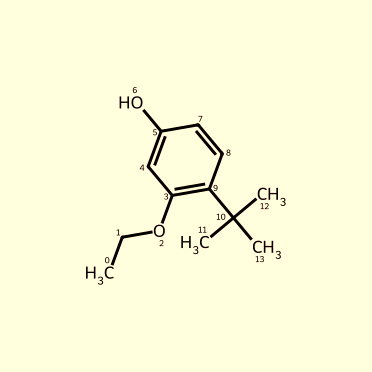 CCOc1cc(O)ccc1C(C)(C)C